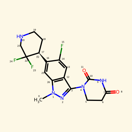 Cn1nc(N2CCC(=O)NC2=O)c2cc(F)c([C@@H]3CCNCC3(F)F)cc21